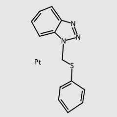 [Pt].c1ccc(SCn2nnc3ccccc32)cc1